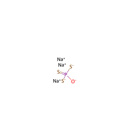 [Na+].[Na+].[Na+].[O-]P(=S)([S-])[S-]